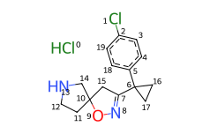 Cl.Clc1ccc(C2(C3=NOC4(CCNC4)C3)CC2)cc1